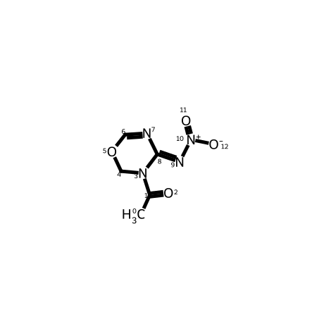 CC(=O)N1COC=NC1=N[N+](=O)[O-]